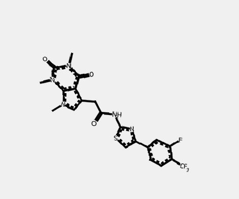 Cn1c(=O)c2c(CC(=O)Nc3nc(-c4ccc(C(F)(F)F)c(F)c4)cs3)cn(C)c2n(C)c1=O